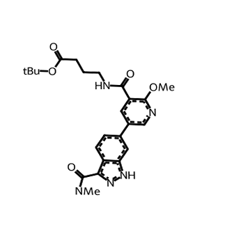 CNC(=O)c1n[nH]c2cc(-c3cnc(OC)c(C(=O)NCCCC(=O)OC(C)(C)C)c3)ccc12